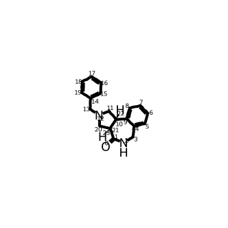 O=C1NCc2ccccc2[C@H]2CN(Cc3ccccc3)C[C@H]12